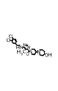 Cc1c(NCCc2ccc(Cl)c(Cl)c2)ncnc1C(=O)N1CCC(N2CCCC(O)CC2)CC1